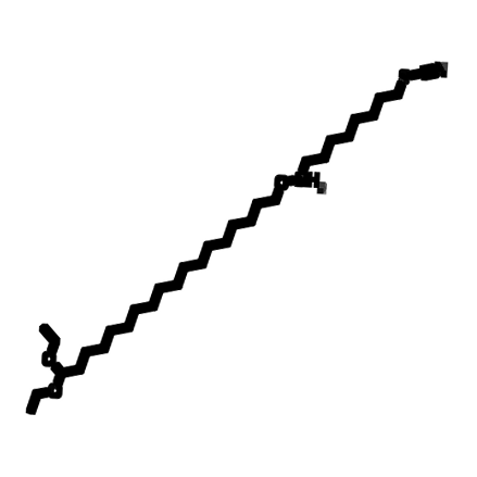 CCOC(CCCCCCCCCCCCCCCCCO[SiH2]CCCCCCCCSC#N)OCC